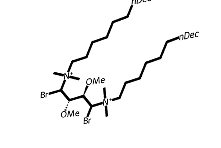 CCCCCCCCCCCCCCCC[N+](C)(C)C(Br)[C@@H](OC)[C@@H](OC)C(Br)[N+](C)(C)CCCCCCCCCCCCCCCC